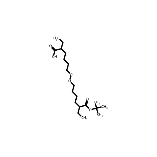 CCC(CCCCOOCCCCC(CC)C(=O)OC(C)(C)C)C(=O)O